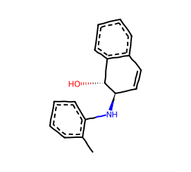 Cc1ccccc1N[C@@H]1C=Cc2ccccc2[C@H]1O